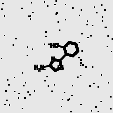 Nc1csc(-c2ccccc2O)n1